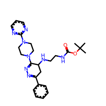 CC(C)(C)OC(=O)NCCNC1CC(c2ccccc2)=NN=C1N1CCN(c2ncccn2)CC1